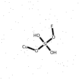 O[Si](O)(OF)[O][Cu]